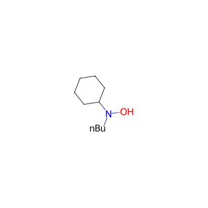 CCCCN(O)C1CCCCC1